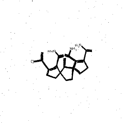 C=C(N)C1=C(C(=C)N)C2(CC1)CCC1(CCC(C(=C)Cl)=C1C(=C)NC)C2=C